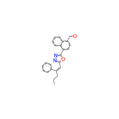 CCCC(=Cc1nnc(-c2ccc(C=O)c3ccccc23)o1)c1ccccc1